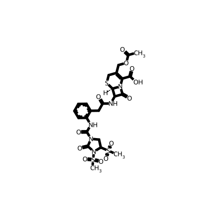 CC(=O)OCC1=C(C(=O)O)N2C(=O)C(NC(=O)Cc3ccccc3NC(=O)N3CC(S(C)(=O)=O)N(S(C)(=O)=O)C3=O)[C@H]2SC1